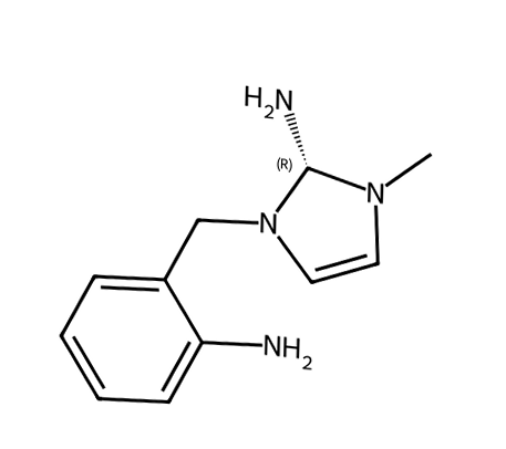 CN1C=CN(Cc2ccccc2N)[C@@H]1N